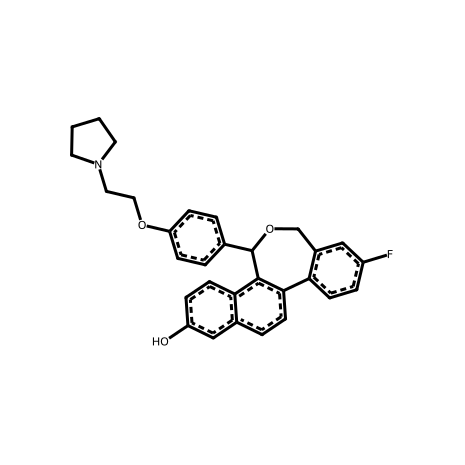 Oc1ccc2c3c(ccc2c1)-c1ccc(F)cc1COC3c1ccc(OCCN2CCCC2)cc1